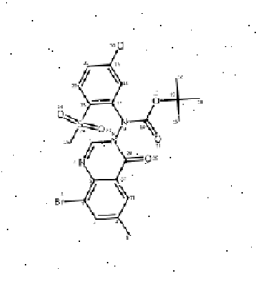 Cc1cc(Br)c2ncn(N(C(=O)OC(C)(C)C)c3cc(Cl)ccc3S(C)(=O)=O)c(=O)c2c1